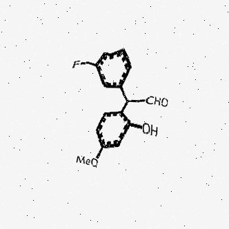 COc1ccc(C(C=O)c2cccc(F)c2)c(O)c1